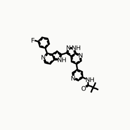 CC(C)(C)C(=O)Nc1cncc(-c2cnc3[nH]nc(-c4cc5c(-c6cccc(F)c6)nccc5[nH]4)c3c2)c1